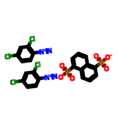 N#[N+]c1ccc(Cl)cc1Cl.N#[N+]c1ccc(Cl)cc1Cl.O=S(=O)([O-])c1cccc2c(S(=O)(=O)[O-])cccc12